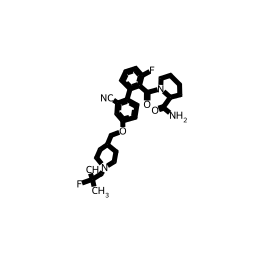 CC(C)(F)CN1CCC(COc2ccc(-c3cccc(F)c3C(=O)N3CCCCC3C(N)=O)c(C#N)c2)CC1